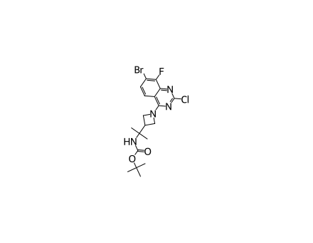 CC(C)(C)OC(=O)NC(C)(C)C1CN(c2nc(Cl)nc3c(F)c(Br)ccc23)C1